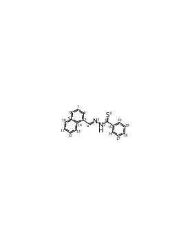 S=C(NN=Cc1cccc2ccccc12)c1ccccc1